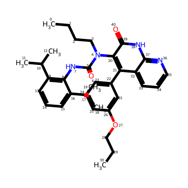 CCCCN(C(=O)Nc1c(C(C)C)cccc1C(C)C)c1c(-c2cccc(OCCC)c2)c2cccnc2[nH]c1=O